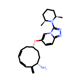 C=C1/C=C\C=C/C[C@H](Oc2ccc3nnc(N4[C@H](C)CCC[C@@H]4C)n3c2)CC[C@@H]1N